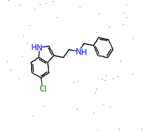 Clc1ccc2[nH]cc(CCNCc3ccccc3)c2c1